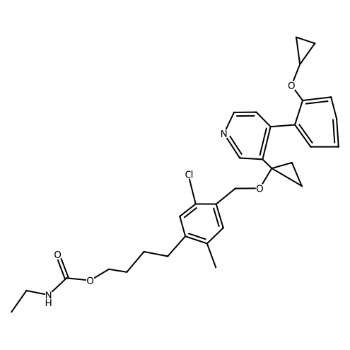 CCNC(=O)OCCCCc1cc(Cl)c(COC2(c3cnccc3-c3ccccc3OC3CC3)CC2)cc1C